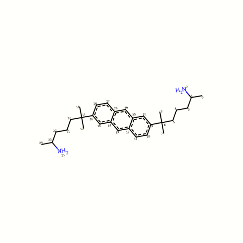 CC(N)CCCC(C)(C)c1ccc2cc3cc(C(C)(C)CCCC(C)N)ccc3cc2c1